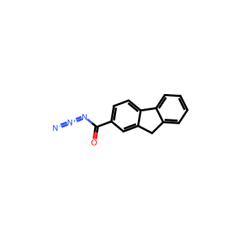 [N-]=[N+]=NC(=O)c1ccc2c(c1)Cc1ccccc1-2